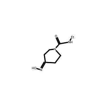 CCNC(=O)N1CCC(=NO)CC1